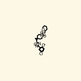 COc1ccc(Cl)cc1-c1noc(C2CC23CCN(S(=O)(=O)CC2CCCCO2)CC3)n1